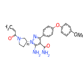 C=CC(=O)N1CC[C@@H](n2nc(-c3ccc(Oc4ccc(OC)cc4)cc3)c(C(N)=O)c2N)C1